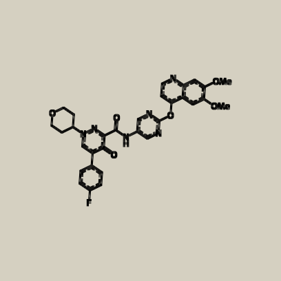 COc1cc2nccc(Oc3ncc(NC(=O)c4nn(C5CCOCC5)cc(-c5ccc(F)cc5)c4=O)cn3)c2cc1OC